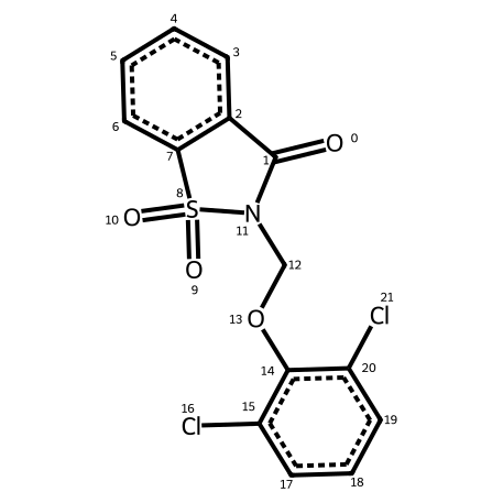 O=C1c2ccccc2S(=O)(=O)N1COc1c(Cl)cccc1Cl